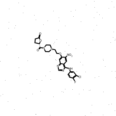 O=C1CC[C@@H](C(=O)N2CCN(CCOc3cc4ncnc(Nc5ccc(F)c(Cl)c5)c4cc3[N+](=O)[O-])CC2)O1